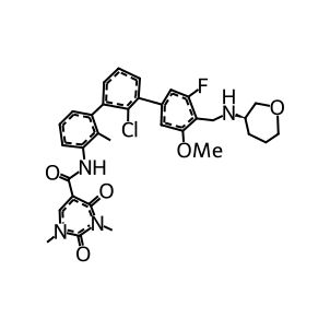 COc1cc(-c2cccc(-c3cccc(NC(=O)c4cn(C)c(=O)n(C)c4=O)c3C)c2Cl)cc(F)c1CN[C@@H]1CCCOC1